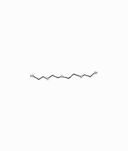 SCCSCCSCCSCCS